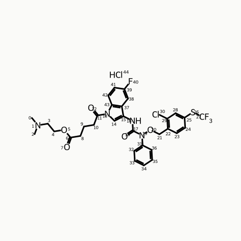 CN(C)CCOC(=O)CCCC(=O)n1cc(NC(=O)N(OCc2ccc(SC(F)(F)F)cc2Cl)c2ccccc2)c2cc(F)ccc21.Cl